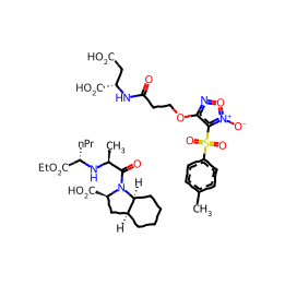 CCC[C@H](N[C@@H](C)C(=O)N1[C@H](C(=O)O)C[C@@H]2CCCC[C@@H]21)C(=O)OCC.Cc1ccc(S(=O)(=O)c2c(OCCC(=O)N[C@@H](CC(=O)O)C(=O)O)no[n+]2[O-])cc1